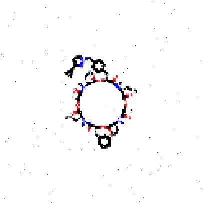 CC(C)C[C@H]1C(=O)O[C@H](Cc2ccc(Cn3ccc(C4CC4)n3)cc2)C(=O)N(C)[C@@H](CC(C)C)C(=O)O[C@H](C)C(=O)N(C)[C@@H](CC(C)C)C(=O)O[C@H](Cc2ccccc2)C(=O)N(C)[C@@H](CC(C)C)C(=O)O[C@H](C)C(=O)N1C